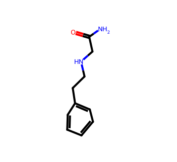 NC(=O)CNCCc1ccccc1